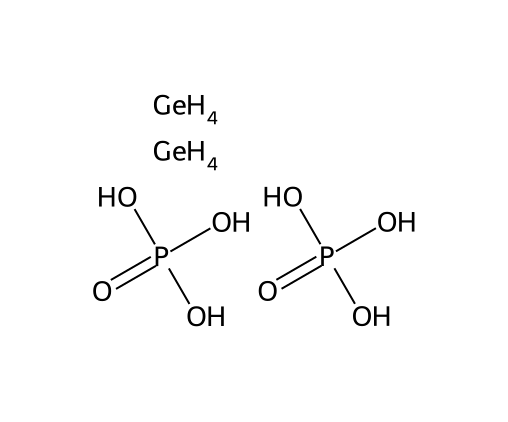 O=P(O)(O)O.O=P(O)(O)O.[GeH4].[GeH4]